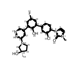 Cn1c#cn(-c2ccc(-c3cc(F)cc(-c4cnnc(N5CC[C@@](C)(O)C5)c4)c3O)cc2Cl)c1=O